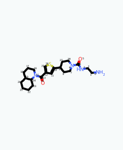 NCCNC(=O)N1CCC(c2cc(C(=O)N3CCCC4CCCCC43)cs2)CC1